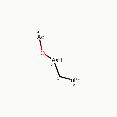 CCCC[AsH]OC(C)=O